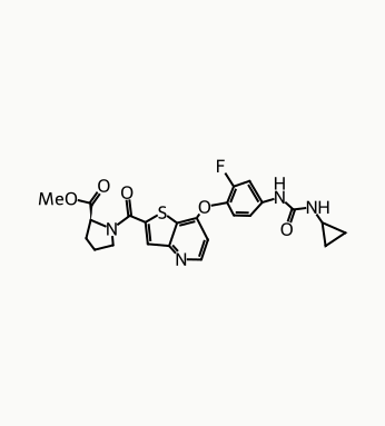 COC(=O)[C@@H]1CCCN1C(=O)c1cc2nccc(Oc3ccc(NC(=O)NC4CC4)cc3F)c2s1